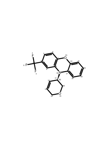 FC(F)(F)c1ccc2c(c1)N([C@@H]1C=CCOC1)c1ccccc1O2